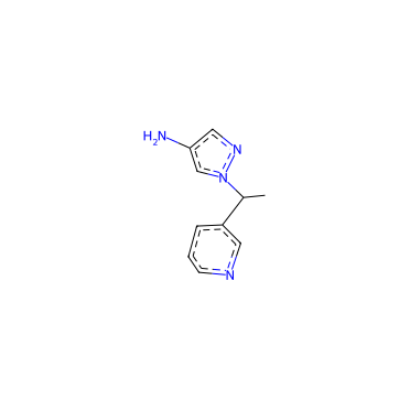 CC(c1cccnc1)n1cc(N)cn1